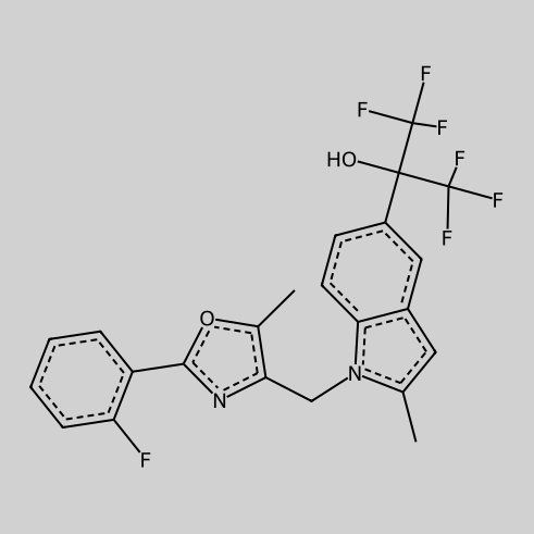 Cc1oc(-c2ccccc2F)nc1Cn1c(C)cc2cc(C(O)(C(F)(F)F)C(F)(F)F)ccc21